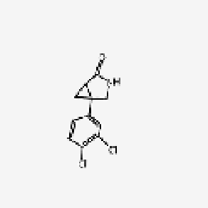 O=C1NCC2(c3ccc(Cl)c(Cl)c3)CC12